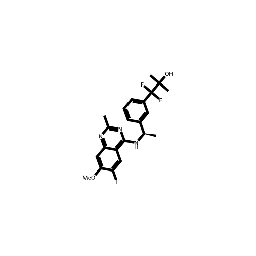 COc1cc2nc(C)nc(N[C@H](C)c3cccc(C(F)(F)C(C)(C)O)c3)c2cc1I